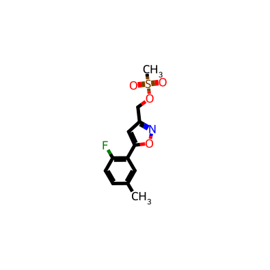 Cc1ccc(F)c(-c2cc(COS(C)(=O)=O)no2)c1